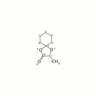 CC1OC2(CCCCC2)OC1=O